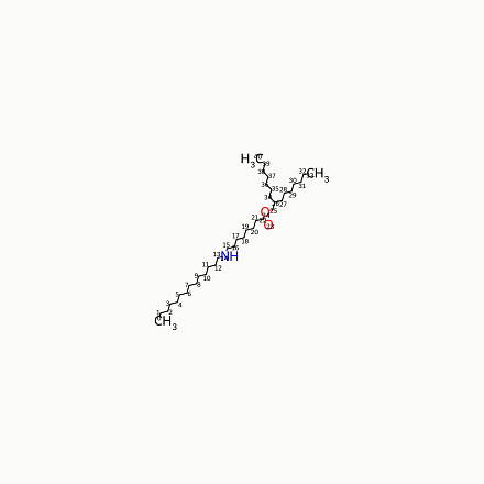 CCCCCCCCCCCCCCNCCCCCCCC(=O)OCC(CCCCCCC)CCCCCCC